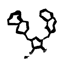 Clc1c(Cl)[n+](Cc2ccc3ccccc3c2)cn1Cc1ccc2ccccc2c1.[Br-]